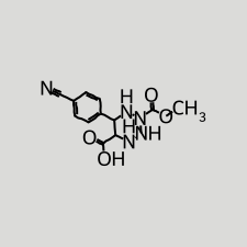 COC(=O)N1NNC(C(=O)O)C(c2ccc(C#N)cc2)N1